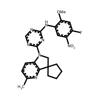 COc1cc(F)c([N+](=O)[O-])cc1Nc1ncnc(N2CC3(CCCC3)c3nc(C)ccc32)n1